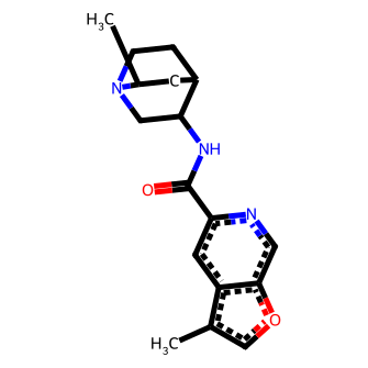 Cc1coc2cnc(C(=O)NC3CN4CCC3CC4C)cc12